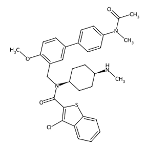 CN[C@H]1CC[C@@H](N(Cc2cc(-c3ccc(N(C)C(C)=O)cc3)ccc2OC)C(=O)c2sc3ccccc3c2Cl)CC1